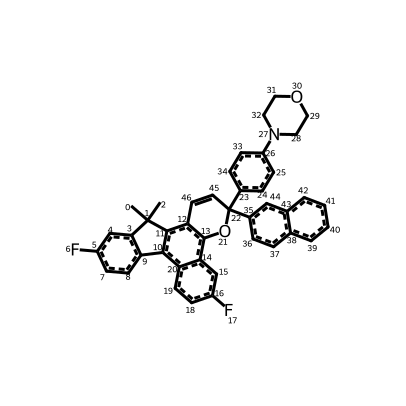 CC1(C)c2cc(F)ccc2-c2c1c1c(c3cc(F)ccc23)OC(c2ccc(N3CCOCC3)cc2)(c2ccc3ccccc3c2)C=C1